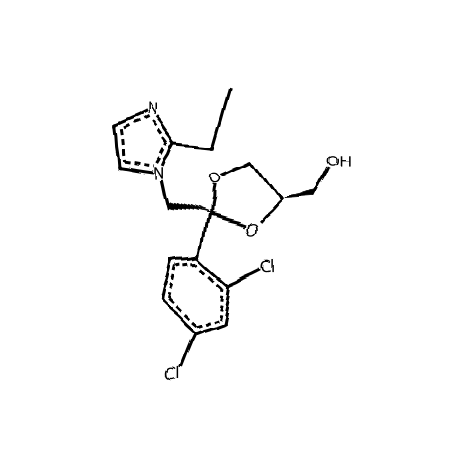 CCc1nccn1C[C@@]1(c2ccc(Cl)cc2Cl)OC[C@@H](CO)O1